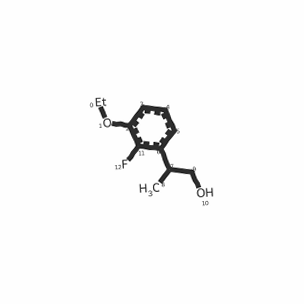 CCOc1cccc([C](C)CO)c1F